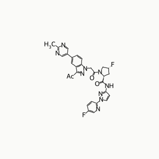 CC(=O)c1nn(CC(=O)N2C[C@H](F)C[C@H]2C(=O)Nc2ccn(-c3ccc(F)cn3)n2)c2ccc(-c3cnc(C)nc3)cc12